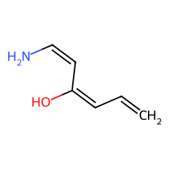 C=C/C=C(O)\C=C/N